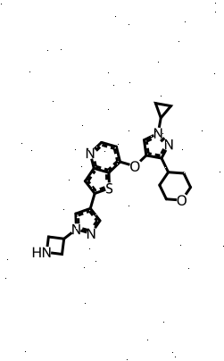 c1cc(Oc2cn(C3CC3)nc2C2CCOCC2)c2sc(-c3cnn(C4CNC4)c3)cc2n1